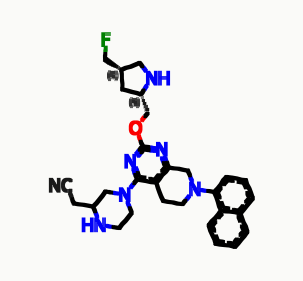 N#CCC1CN(c2nc(OC[C@@H]3C[C@@H](CF)CN3)nc3c2CCN(c2cccc4ccccc24)C3)CCN1